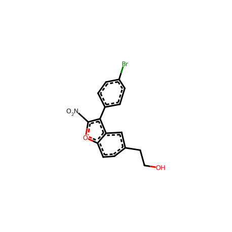 O=[N+]([O-])c1oc2ccc(CCO)cc2c1-c1ccc(Br)cc1